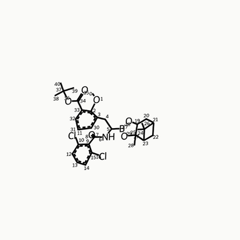 COc1c(CC(NC(=O)c2c(Cl)cccc2Cl)B2OC3CC4CC(C4(C)C)C3(C)O2)cccc1C(=O)OC(C)(C)C